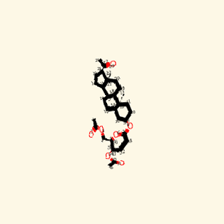 CC(=O)OC[C@H]1OC(O[C@H]2CC[C@@]3(C)C(=CCC4C3CC[C@@]3(C)C4CC[C@@H]3C(C)=O)C2)C=C[C@@H]1OC(C)=O